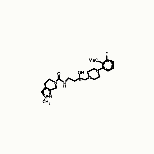 COc1c(F)cccc1N1CCN(C[C@H](O)CCNC(=O)N2CCc3cn(C)nc3C2)CC1